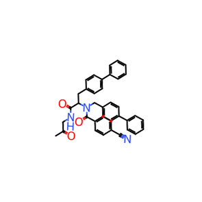 CC(=O)CNC(=O)C(Cc1ccc(-c2ccccc2)cc1)N(Cc1ccc(-c2ccccc2)cc1)C(=O)c1ccc(C#N)cc1